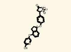 N#Cc1ccc(Oc2cccc3c2CC[C@H]3Oc2ccc(C3CC(=O)NS3(=O)=O)cc2)cn1